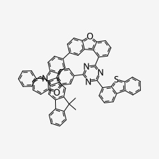 CC1(C)c2ccccc2-c2cc3c(cc21)c1cc(-c2ccc4oc5cccc(-c6nc(-c7ccc8c(c7)oc7ccccc78)nc(-c7cccc8c7sc7ccccc78)n6)c5c4c2)ccc1n3-c1ccccc1